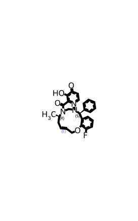 C[C@@H]1C/C=C/COc2c(F)cccc2[C@H](c2ccccc2)N2CN1C(=O)c1c(O)c(=O)ccn12